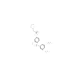 COc1cc(Nc2ccc(S(=O)(=O)NCC3CCCO3)cc2F)cc(OC)c1